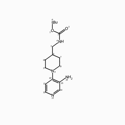 CC(C)(C)OC(=O)NCC1CCN(c2ccncc2N)CC1